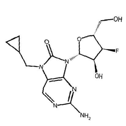 Nc1ncc2c(n1)n([C@@H]1O[C@H](CO)[C@@H](F)[C@H]1O)c(=O)n2CC1CC1